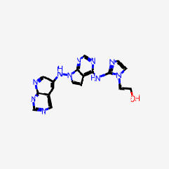 OCCn1ccnc1Nc1ncnc2c1ccn2Nc1cnc2ncncc2c1